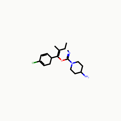 CC/C(C)=C(\O/C(=N\C)N1CCC(N)CC1)C1C=CC(Cl)=CC1